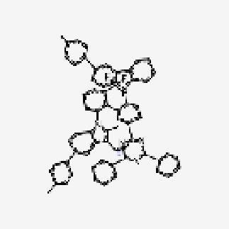 C/C=C\c1c(C)n(-c2cccc(C(F)(F)F)c2-c2cc(-c3nc(-c4ccccc4)nc(-c4ccccc4)n3)ccc2-n2c3ccccc3c3cc(-c4ccc(C)cc4)ccc32)c2ccc(-c3ccc(C)cc3)cc12